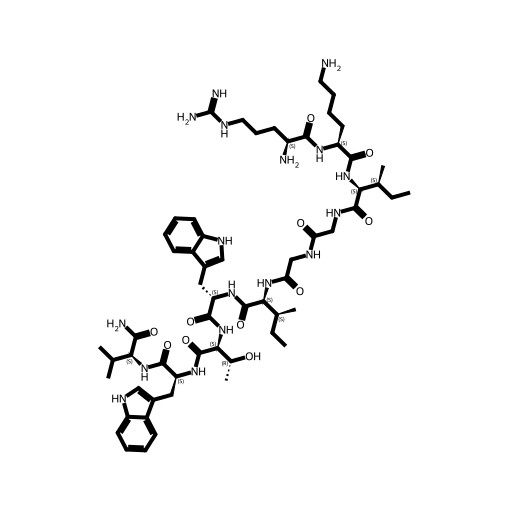 CC[C@H](C)[C@H](NC(=O)CNC(=O)CNC(=O)[C@@H](NC(=O)[C@H](CCCCN)NC(=O)[C@@H](N)CCCNC(=N)N)[C@@H](C)CC)C(=O)N[C@@H](Cc1c[nH]c2ccccc12)C(=O)N[C@H](C(=O)N[C@@H](Cc1c[nH]c2ccccc12)C(=O)N[C@H](C(N)=O)C(C)C)[C@@H](C)O